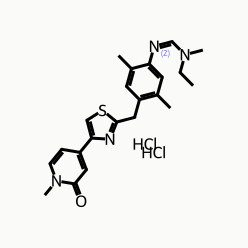 CCN(C)/C=N\c1cc(C)c(Cc2nc(-c3ccn(C)c(=O)c3)cs2)cc1C.Cl.Cl